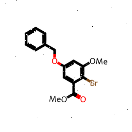 COC(=O)c1cc(OCc2ccccc2)cc(OC)c1Br